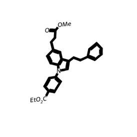 CCOC(=O)c1ccc(-n2cc(CCc3ccccc3)c3cc(CCC(=O)OC)ccc32)cc1